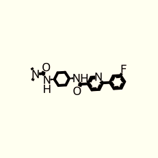 CN(C)C(=O)N[C@H]1CC[C@@H](NC(=O)c2ccc(-c3cccc(F)c3)nc2)CC1